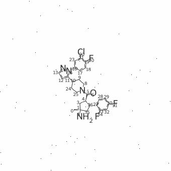 C[C@@]1(N)C[C@@H](C(=O)N2CCC(c3ccnn3-c3ccc(F)c(Cl)c3)CC2)[C@H](c2ccc(F)cc2F)C1